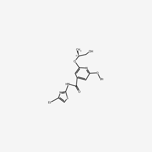 CCc1csc(NC(=O)c2cc(OC(C)C)nc(O[C@@H](C)CO)c2)n1